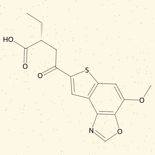 CC[C@H](CC(=O)c1cc2c(cc(OC)c3ocnc32)s1)C(=O)O